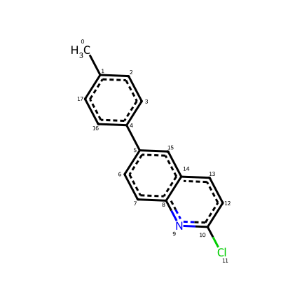 Cc1ccc(-c2ccc3nc(Cl)ccc3c2)cc1